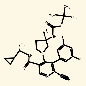 C[C@H](NC(=O)c1cnc(C#N)c(-c2cc(F)cc(F)c2)c1N1CC[C@](C)(NC(=O)OC(C)(C)C)C1)C1CC1